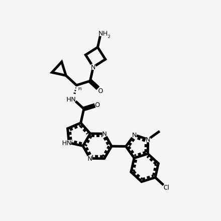 Cn1nc(-c2cnc3[nH]cc(C(=O)N[C@@H](C(=O)N4CC(N)C4)C4CC4)c3n2)c2ccc(Cl)cc21